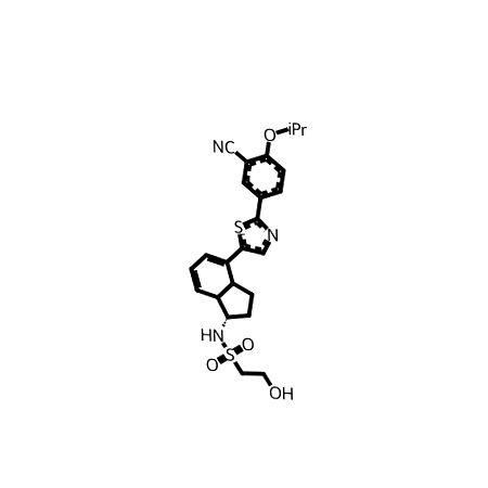 CC(C)Oc1ccc(-c2ncc(C3=CC=CC4C3CC[C@@H]4NS(=O)(=O)CCO)s2)cc1C#N